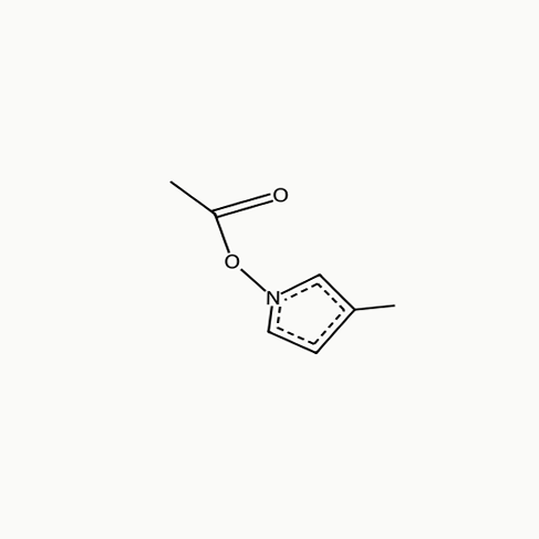 CC(=O)On1ccc(C)c1